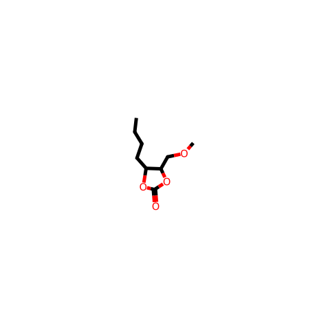 CCCCC1OC(=O)OC1COC